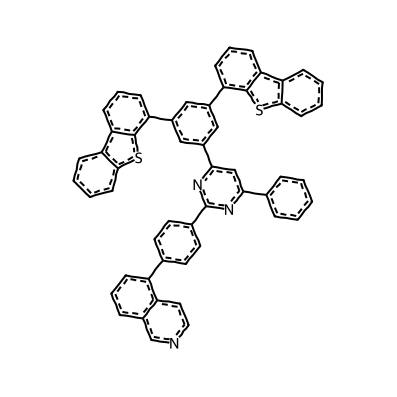 c1ccc(-c2cc(-c3cc(-c4cccc5c4sc4ccccc45)cc(-c4cccc5c4sc4ccccc45)c3)nc(-c3ccc(-c4cccc5cnccc45)cc3)n2)cc1